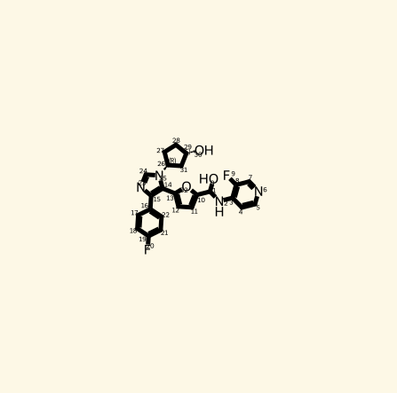 OC(Nc1ccncc1F)c1ccc(-c2c(-c3ccc(F)cc3)ncn2[C@@H]2CC[C@H](O)C2)o1